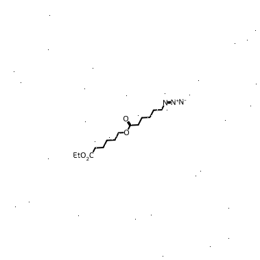 CCOC(=O)CCCCCOC(=O)CCCCCN=[N+]=[N-]